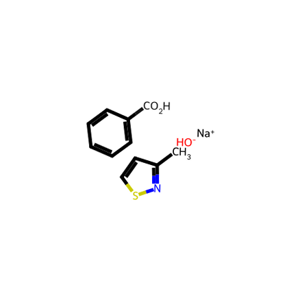 Cc1ccsn1.O=C(O)c1ccccc1.[Na+].[OH-]